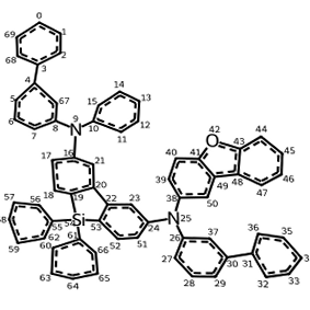 c1ccc(-c2cccc(N(c3ccccc3)c3ccc4c(c3)-c3cc(N(c5cccc(-c6ccccc6)c5)c5ccc6oc7ccccc7c6c5)ccc3[Si]4(c3ccccc3)c3ccccc3)c2)cc1